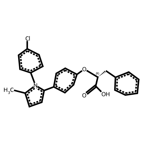 Cc1ccc(-c2ccc(O[C@H](Cc3ccccc3)C(=O)O)cc2)n1-c1ccc(Cl)cc1